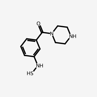 O=C(c1cccc(NS)c1)N1CCNCC1